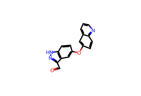 O=Cc1n[nH]c2ccc(Oc3ccc4ncccc4c3)cc12